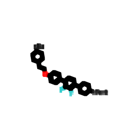 CCCCCC1CCC(c2ccc(-c3ccc(OCCC4CCC(CCCC)CC4)cc3)c(F)c2F)CC1